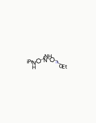 CCOC/C=C/c1ccc(-c2nc(-c3ccc(NC(C)C)cc3)c[nH]2)cc1